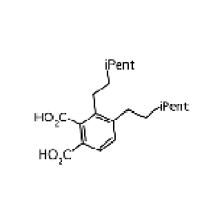 CCCC(C)CCc1ccc(C(=O)O)c(C(=O)O)c1CCC(C)CCC